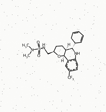 CN(C)S(=O)(=O)NC[C@H]1CC[C@@H]2[C@H](O1)c1cc(C(F)(F)F)ccc1N[C@H]2C1C=CC=CC1